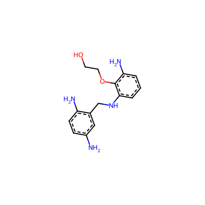 Nc1ccc(N)c(CNc2cccc(N)c2OCCO)c1